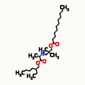 CCCCCCCCCCCC(=O)OCC(C)(C)/C=N/C(C)C(=O)OCC(CC)CCCC